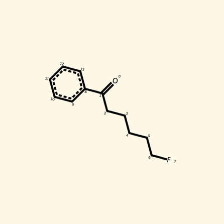 O=C(CCCCCF)c1ccccc1